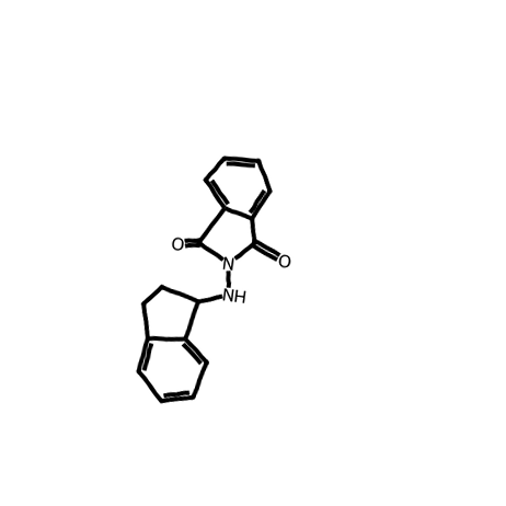 O=C1c2ccccc2C(=O)N1NC1CCc2ccccc21